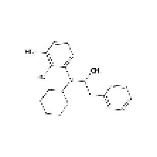 CC(Cc1ccccc1)N(c1cccc(O)c1O)C1CCCCC1